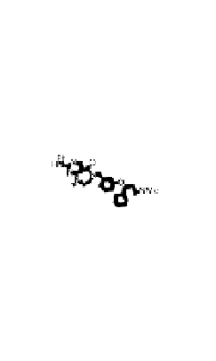 CCNc1ncc2c(n1)N(C)CCN(Cc1cccc(OC(CCNC)c3ccccc3)c1)C2=O